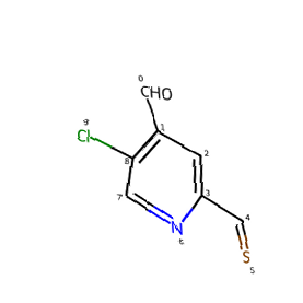 O=Cc1cc(C=S)ncc1Cl